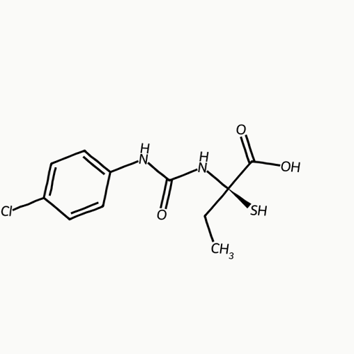 CC[C@](S)(NC(=O)Nc1ccc(Cl)cc1)C(=O)O